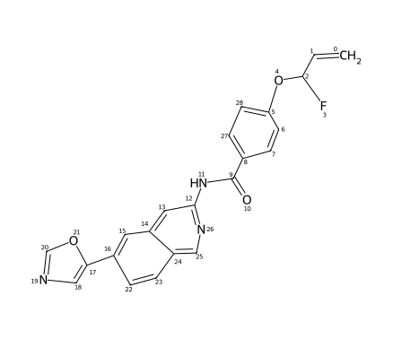 C=CC(F)Oc1ccc(C(=O)Nc2cc3cc(-c4cnco4)ccc3cn2)cc1